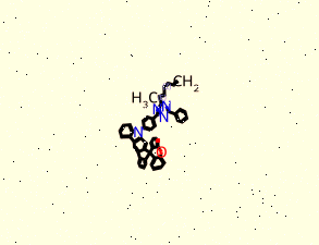 C=C/C=C\C=C(/C)c1nc(-c2ccccc2)nc(-c2ccc(-n3c4ccccc4c4cc5c(cc43)C3(c4ccccc4Oc4ccccc43)c3ccccc3-5)cc2)n1